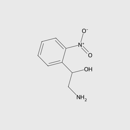 NCC(O)c1ccccc1[N+](=O)[O-]